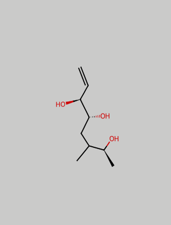 C=C[C@H](O)[C@H](O)CC(C)[C@H](C)O